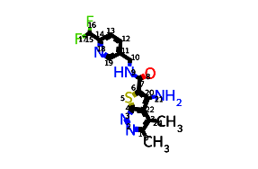 Cc1nnc2sc(C(=O)NCc3ccc(C(F)F)nc3)c(N)c2c1C